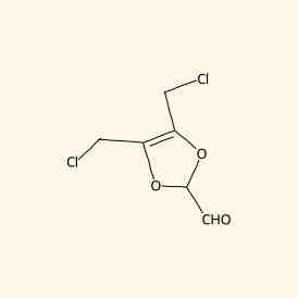 O=CC1OC(CCl)=C(CCl)O1